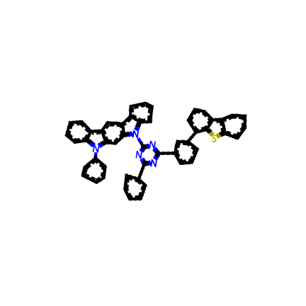 c1ccc(-c2nc(-c3cccc(-c4cccc5c4sc4ccccc45)c3)nc(-n3c4ccccc4c4cc5c6ccccc6n(-c6ccccc6)c5cc43)n2)cc1